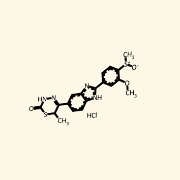 COc1cc(-c2nc3cc(C4=NNC(=O)SC4C)ccc3[nH]2)ccc1[S+](C)[O-].Cl